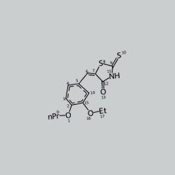 CCCOc1ccc(C=C2SC(=S)NC2=O)cc1OCC